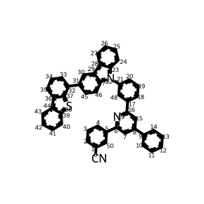 N#Cc1cccc(-c2cc(-c3ccccc3)cc(-c3cccc(-n4c5ccccc5c5cc(-c6cccc7c6sc6ccccc67)ccc54)c3)n2)c1